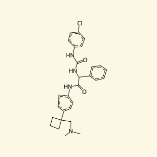 CN(C)CC1(c2ccc(NC(=O)C(NC(=O)Nc3ccc(Cl)cc3)c3ccccc3)cc2)CCC1